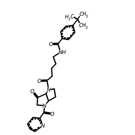 CC(C)(C)c1ccc(C(=O)NCCCCC(=O)N2CCC3C2C(=O)CN3C(=O)c2ccccn2)cc1